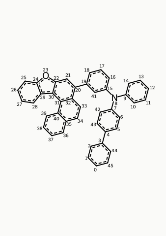 c1ccc(-c2ccc(N(c3ccccc3)c3cccc(-c4cc5oc6ccccc6c5c5c4ccc4ccccc45)c3)cc2)cc1